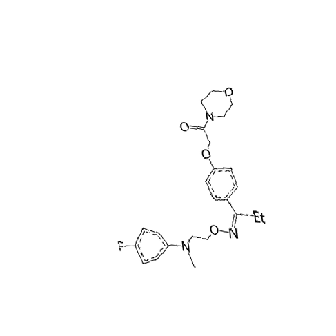 CCC(=NOCCN(C)c1ccc(F)cc1)c1ccc(OCC(=O)N2CCOCC2)cc1